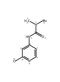 CCC(C)N(C)C(=O)Nc1ccnc(Cl)c1